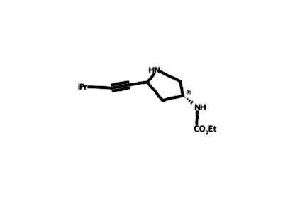 CCOC(=O)N[C@H]1CNC(C#CC(C)C)C1